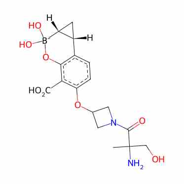 CC(N)(CO)C(=O)N1CC(Oc2ccc3c(c2C(=O)O)O[B-](O)(O)[C@@H]2C[C@H]32)C1